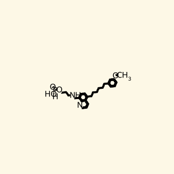 COc1cccc(CCCCCCc2ccc(CNCCCO[PH](=O)O)c3ncccc23)c1